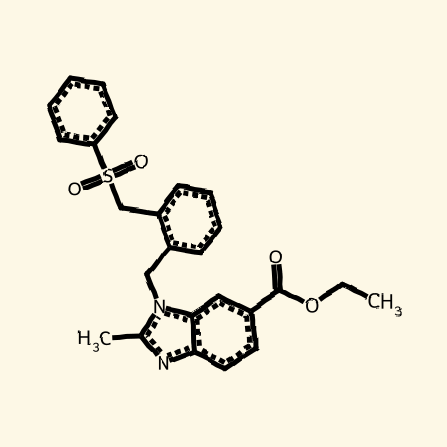 CCOC(=O)c1ccc2nc(C)n(Cc3ccccc3CS(=O)(=O)c3ccccc3)c2c1